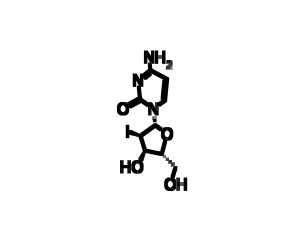 Nc1ccn([C@@H]2O[C@H](CO)[C@@H](O)[C@H]2I)c(=O)n1